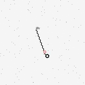 CC(C)CCCCCCCCCCCCCCCOCc1ccccc1